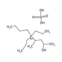 CCCC[PH](CCC)(CCC)C(C)CC(C)O.O=S(=O)(O)O